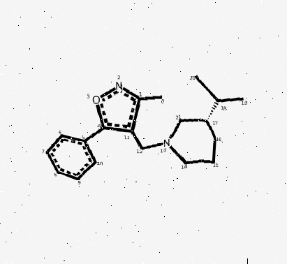 Cc1noc(-c2ccccc2)c1CN1CCC[C@@H](C(C)C)C1